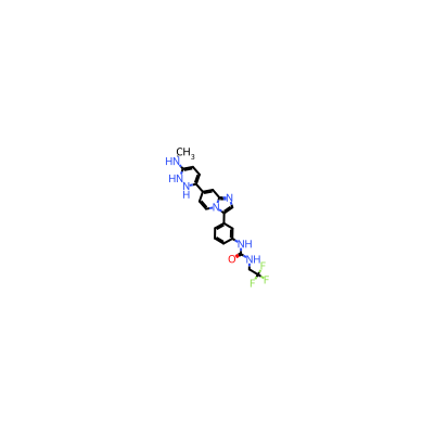 CNC1=CC=C(c2ccn3c(-c4cccc(NC(=O)NCC(F)(F)F)c4)cnc3c2)NN1